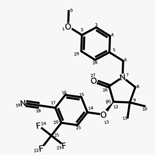 COc1ccc(CN2CC(C)(C)[C@@H](Oc3ccc(C#N)c(C(F)(F)F)c3)C2=O)cc1